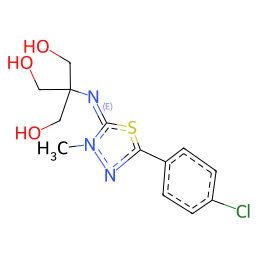 Cn1nc(-c2ccc(Cl)cc2)s/c1=N/C(CO)(CO)CO